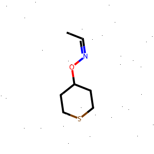 C/C=N\OC1CCSCC1